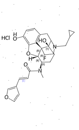 CN(C(=O)/C=C/c1ccoc1)[C@@H]1CC[C@@]2(O)C3Cc4ccc(O)c5c4[C@@]2([C@@H](F)CN3CC2CC2)[C@H]1O5.Cl